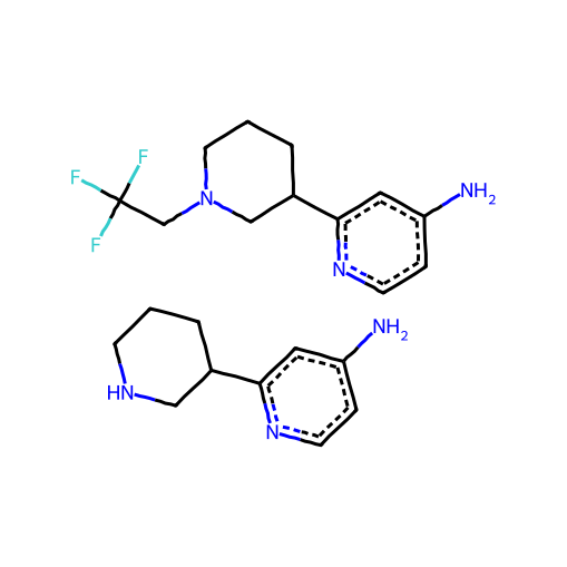 Nc1ccnc(C2CCCN(CC(F)(F)F)C2)c1.Nc1ccnc(C2CCCNC2)c1